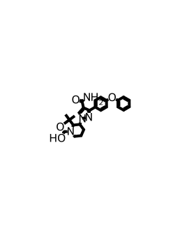 CC(C)(C)C1C(n2cc(C(N)=O)c(-c3ccc(Oc4ccccc4)cc3)n2)CCCN1C(=O)O